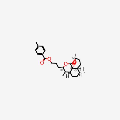 Cc1ccc(C(=O)OCCC[C@H]2OC3O[C@]4(C)CC[C@H]5[C@H](C)CC[C@@H]([C@H]2C)[C@@]35OO4)cc1